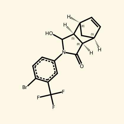 O=C1[C@H]2[C@@H](C(O)N1c1ccc(Br)c(C(F)(F)F)c1)[C@H]1C=C[C@@H]2C1